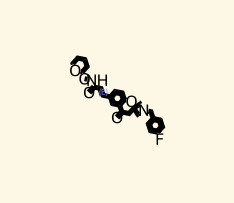 O=C(/C=C/c1ccc2c(c1)C(=O)CC1(CN(Cc3ccc(F)cc3)C1)O2)NOC1CCCCO1